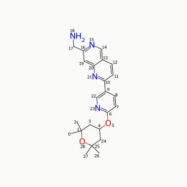 CC1(C)CC(Oc2ccc(-c3ccc4cnc(CN)cc4n3)cn2)CC(C)(C)O1